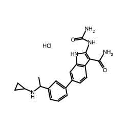 CC(NC1CC1)c1cccc(-c2ccc3c(C(N)=O)c(NC(N)=O)[nH]c3c2)c1.Cl